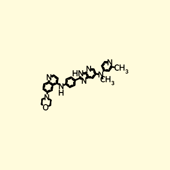 Cc1cc(N(C)c2cnc3[nH]c(-c4ccc(Nc5ccnc6ccc(N7CCOCC7)cc56)cc4)nc3c2)ccn1